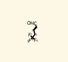 O=CC=CCC(F)(F)F